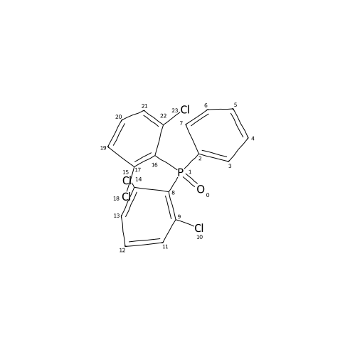 O=P(c1ccccc1)(c1c(Cl)cccc1Cl)c1c(Cl)cccc1Cl